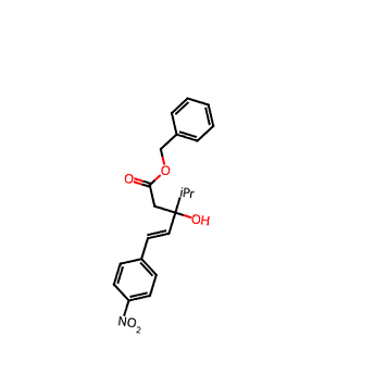 CC(C)C(O)(C=Cc1ccc([N+](=O)[O-])cc1)CC(=O)OCc1ccccc1